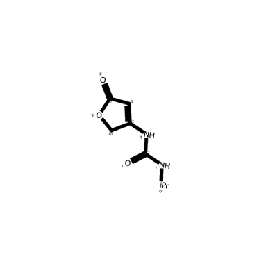 CC(C)NC(=O)NC1=CC(=O)OC1